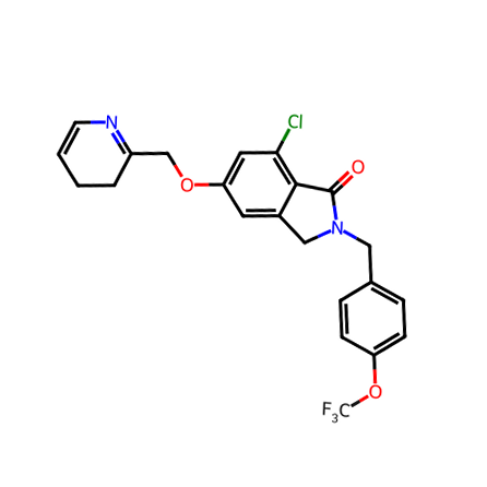 O=C1c2c(Cl)cc(OCC3=NC=CCC3)cc2CN1Cc1ccc(OC(F)(F)F)cc1